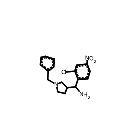 NC(c1ccc([N+](=O)[O-])cc1Cl)C1CCN(Cc2ccccc2)C1